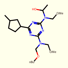 CCCCOCN(COC)c1nc(C2CCC(C)C2)nc(N(COC)C(C)O)n1